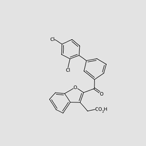 O=C(O)Cc1c(C(=O)c2cccc(-c3ccc(Cl)cc3Cl)c2)oc2ccccc12